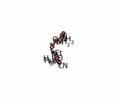 CCc1cc2c(cc1N1CCC(CC3CCN(CCCNC(=O)[C@@H](N)CCCn4c(N)nc5ccccc54)CC3)CC1)C(C)(C)c1[nH]c3cc(C#N)ccc3c1C2=O